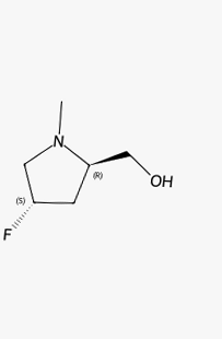 CN1C[C@@H](F)C[C@@H]1CO